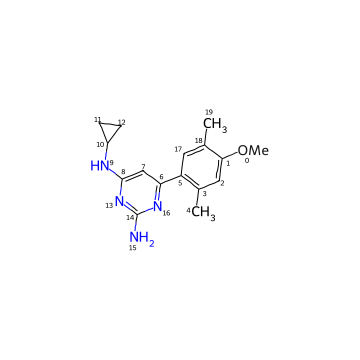 COc1cc(C)c(-c2cc(NC3CC3)nc(N)n2)cc1C